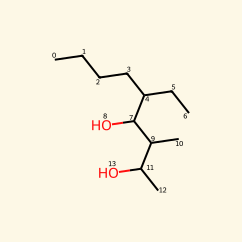 CCCCC(CC)C(O)C(C)C(C)O